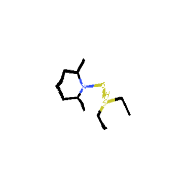 CC[SH](CC)SN1C(C)CCCC1C